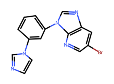 Brc1cnc2c(c1)ncn2-c1cccc(-n2ccnc2)c1